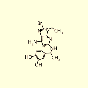 CCn1c(Br)nc2c(N)nc(NC(C)c3ccc(O)c(O)c3)nc21